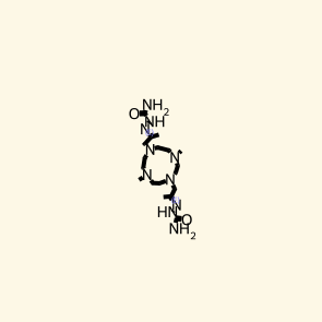 C/C(CN1CCN(C)CCN(C/C(C)=N/NC(N)=O)CCN(C)CC1)=N\NC(N)=O